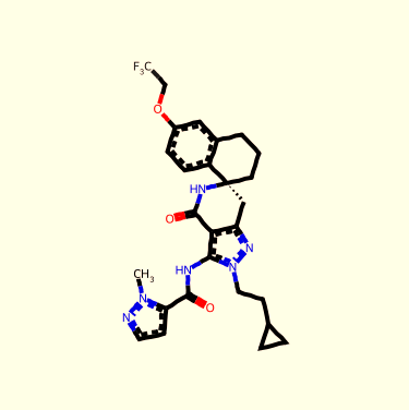 Cn1nccc1C(=O)Nc1c2c(nn1CCC1CC1)C[C@]1(CCCc3cc(OCC(F)(F)F)ccc31)NC2=O